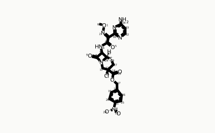 CON=C(C(=O)NC1C(=O)N2CC(Cl)(C(=O)OCc3ccc([N+](=O)[O-])cc3)CS[C@H]12)c1nccc(N)n1